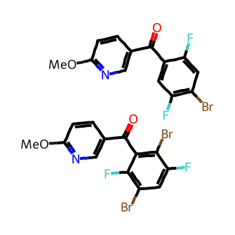 COc1ccc(C(=O)c2c(F)c(Br)cc(F)c2Br)cn1.COc1ccc(C(=O)c2cc(F)c(Br)cc2F)cn1